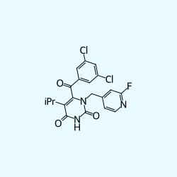 CC(C)c1c(C(=O)c2cc(Cl)cc(Cl)c2)n(Cc2ccnc(F)c2)c(=O)[nH]c1=O